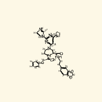 O=C(NCCc1ccc2c(c1)OCO2)C1CN(c2cc(Cl)nc(-n3ccnc3)n2)CCN1C(=O)COc1ccccc1